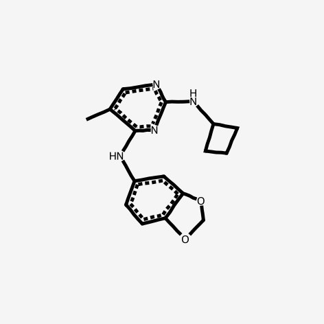 Cc1cnc(NC2CCC2)nc1Nc1ccc2c(c1)OCO2